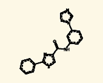 O=C(Nc1cccc(-n2ccnc2)c1)c1csc(-c2ccccc2)n1